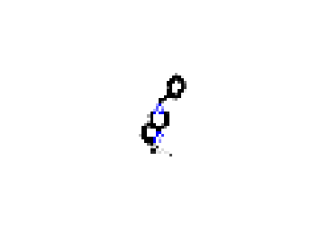 Bc1ccc2c(n1)CCN(Cc1ccccc1)C2